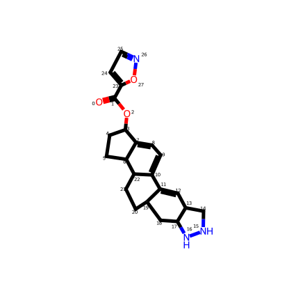 O=C(OC1CCC2C1=CC=C1C3=CC4CNNC4CC3CCC12)c1ccno1